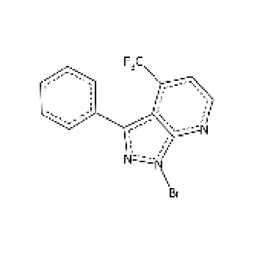 FC(F)(F)c1ccnc2c1c(-c1ccccc1)nn2Br